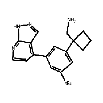 CC(C)(C)c1cc(-c2ccnc3[nH]ncc23)cc(C2(CN)CCC2)c1